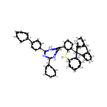 c1ccc(-c2ccc(-c3nc(-c4ccccc4)nc(-c4cccc5c4Sc4ccccc4C54c5ccccc5-c5ccccc54)n3)cc2)cc1